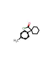 Cc1ccc(C2(C(=O)Cl)CCCCC2)cc1